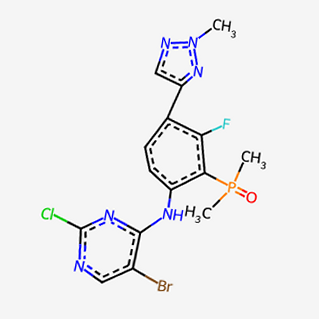 Cn1ncc(-c2ccc(Nc3nc(Cl)ncc3Br)c(P(C)(C)=O)c2F)n1